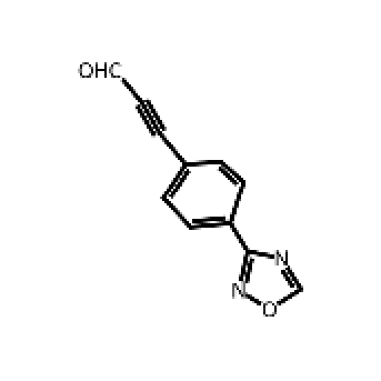 O=CC#Cc1ccc(-c2ncon2)cc1